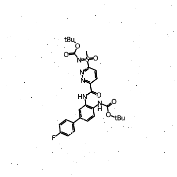 CC(C)(C)OC(=O)N=S(C)(=O)c1ccc(C(=O)Nc2cc(-c3ccc(F)cc3)ccc2NC(=O)OC(C)(C)C)nn1